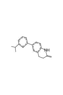 C=C1CCc2cc(-c3cccc(C(C)C)c3)ccc2N1